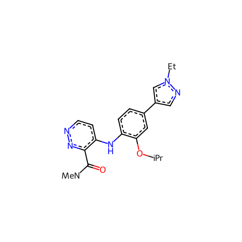 CCn1cc(-c2ccc(Nc3ccnnc3C(=O)NC)c(OC(C)C)c2)cn1